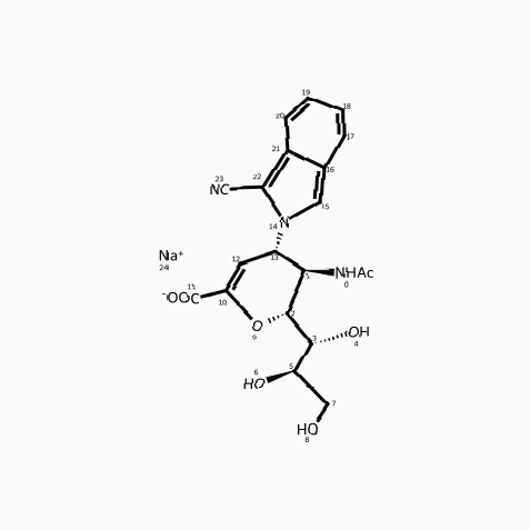 CC(=O)N[C@H]1[C@H]([C@H](O)[C@H](O)CO)OC(C(=O)[O-])=C[C@@H]1n1cc2ccccc2c1C#N.[Na+]